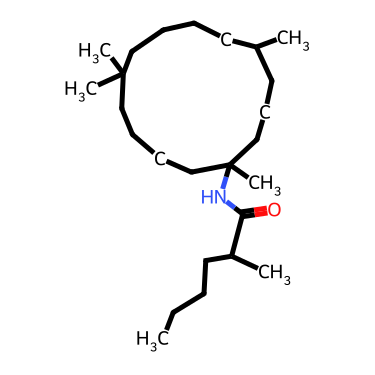 CCCCC(C)C(=O)NC1(C)CCCCC(C)(C)CCCCC(C)CCC1